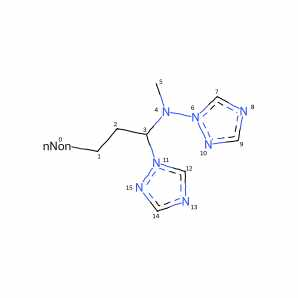 CCCCCCCCCCCC(N(C)n1cncn1)n1cncn1